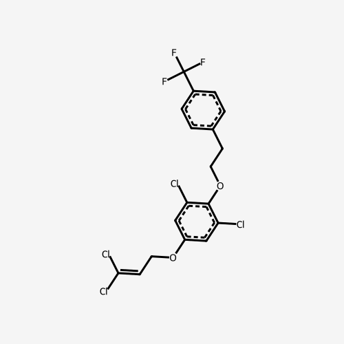 FC(F)(F)c1ccc(CCOc2c(Cl)cc(OCC=C(Cl)Cl)cc2Cl)cc1